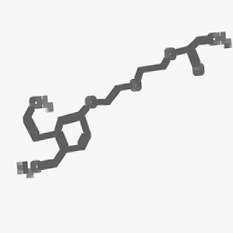 C=CC(=O)OCCOCCOc1ccc(C=C)c(/C=C\C)c1